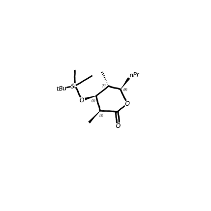 CCC[C@H]1OC(=O)[C@@H](C)[C@@H](O[Si](C)(C)C(C)(C)C)[C@@H]1C